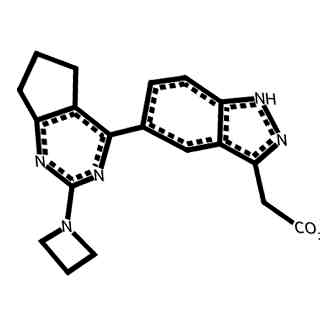 O=C(O)Cc1n[nH]c2ccc(-c3nc(N4CCC4)nc4c3CCC4)cc12